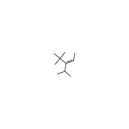 CC=C(C(C)C)C(C)(C)C